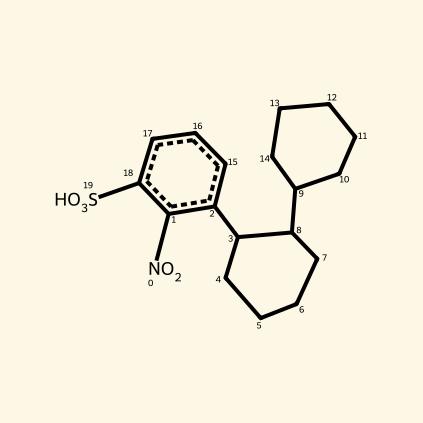 O=[N+]([O-])c1c(C2CCCCC2C2CCCCC2)cccc1S(=O)(=O)O